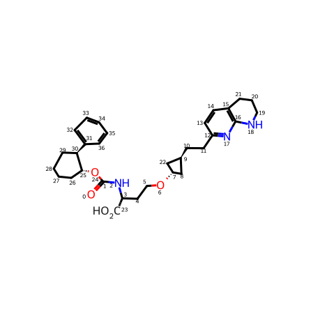 O=C(NC(CCO[C@H]1C[C@H](CCc2ccc3c(n2)NCCC3)C1)C(=O)O)O[C@@H]1CCCC[C@H]1c1ccccc1